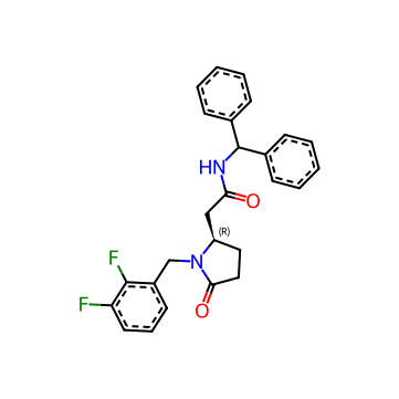 O=C(C[C@H]1CCC(=O)N1Cc1cccc(F)c1F)NC(c1ccccc1)c1ccccc1